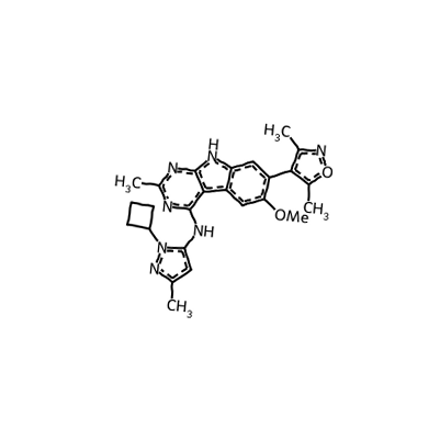 COc1cc2c(cc1-c1c(C)noc1C)[nH]c1nc(C)nc(Nc3cc(C)nn3C3CCC3)c12